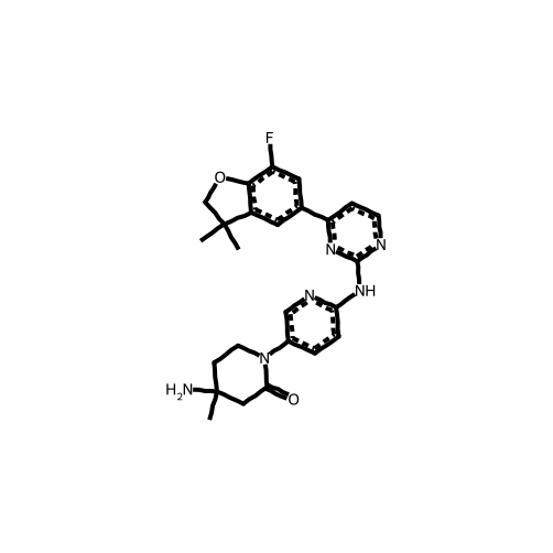 CC1(N)CCN(c2ccc(Nc3nccc(-c4cc(F)c5c(c4)C(C)(C)CO5)n3)nc2)C(=O)C1